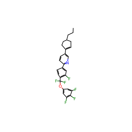 CCCC1CC=C(c2ccc(-c3ccc(C(F)(F)Oc4cc(F)c(F)c(F)c4)c(F)c3)nc2)CC1